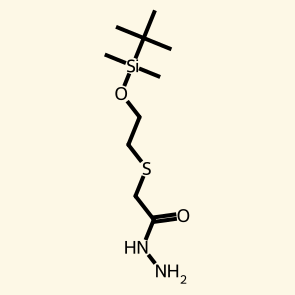 CC(C)(C)[Si](C)(C)OCCSCC(=O)NN